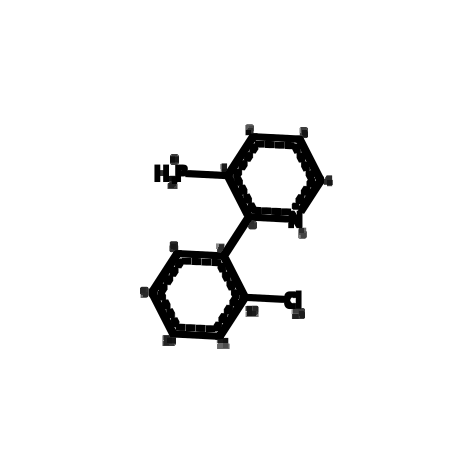 Pc1cccnc1-c1ccccc1Cl